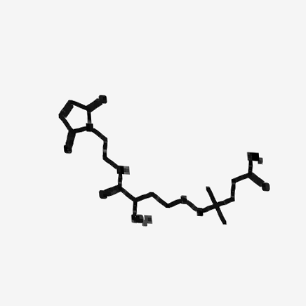 BC(=O)CCC(C)(C)SSCCC(C(=O)NCCN1C(=O)C=CC1=O)S(=O)(=O)O